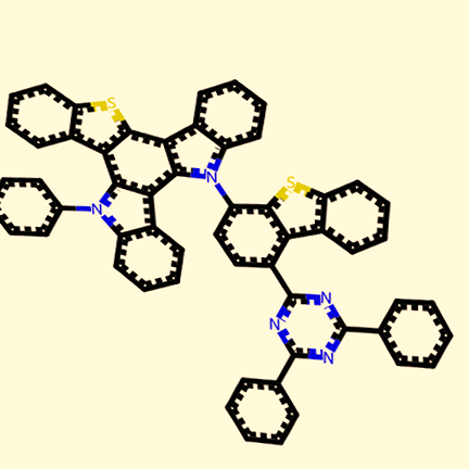 c1ccc(-c2nc(-c3ccccc3)nc(-c3ccc(-n4c5ccccc5c5c6sc7ccccc7c6c6c(c7ccccc7n6-c6ccccc6)c54)c4sc5ccccc5c34)n2)cc1